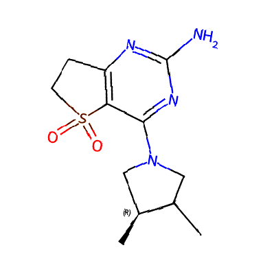 CC1CN(c2nc(N)nc3c2S(=O)(=O)CC3)C[C@@H]1C